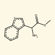 COC(=O)C(N)c1csc2ccccc12